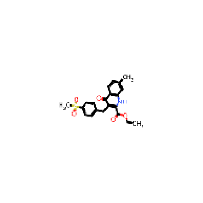 CCOC(=O)c1[nH]c2cc(C)ccc2c(=O)c1Cc1ccc(S(C)(=O)=O)cc1